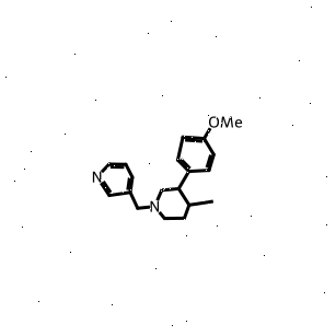 COc1ccc(C2CN(Cc3cccnc3)CCC2C)cc1